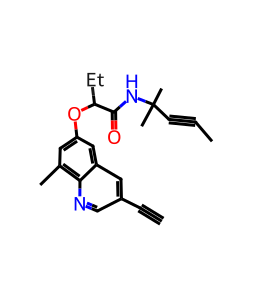 C#Cc1cnc2c(C)cc(OC(CC)C(=O)NC(C)(C)C#CC)cc2c1